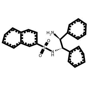 N[C@@H](c1ccccc1)[C@@H](NS(=O)(=O)c1ccc2ccccc2c1)c1ccccc1